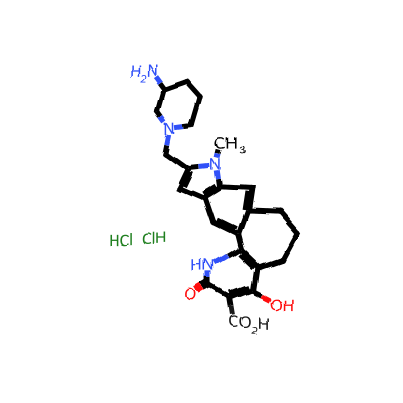 Cl.Cl.Cn1c(CN2CCCC(N)C2)cc2cc3c(cc21)CCCc1c-3[nH]c(=O)c(C(=O)O)c1O